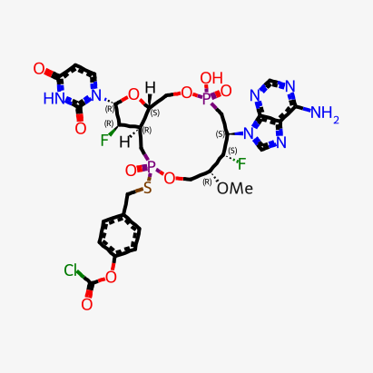 CO[C@@H]1COP(=O)(SCc2ccc(OC(=O)Cl)cc2)C[C@H]2[C@@H](F)[C@H](n3ccc(=O)[nH]c3=O)O[C@@H]2COP(=O)(O)C[C@@H](n2cnc3c(N)ncnc32)[C@@H]1F